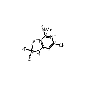 CNc1nc(Cl)cc(OC(F)(F)Cl)n1